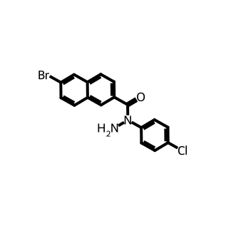 NN(C(=O)c1ccc2cc(Br)ccc2c1)c1ccc(Cl)cc1